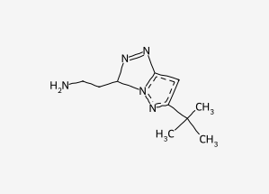 CC(C)(C)c1cc2n(n1)C(CCN)N=N2